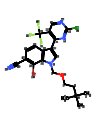 C[Si](C)(C)CCOCn1cc(-c2nc(Cl)ncc2C(F)(F)F)c2ccc(C#N)c(Br)c21